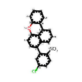 O=[N+]([O-])c1ccc(Cl)cc1-c1ccc2c3c(cccc13)-c1ccccc1O2